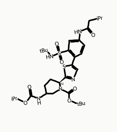 CC(C)CC(=O)Nc1ccc(-c2cnc([C@@H]3CCC(NC(=O)OC(C)C)CN3C(=O)OC(C)(C)C)s2)c(S(=O)(=O)NC(C)(C)C)c1